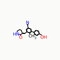 Cc1c(/C=C2\CCCNC2=O)cc(C#N)cc1-c1ccc(CO)cc1